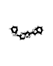 c1ccc(Nc2ccn3nc(-c4cc5ccccc5o4)cc3n2)cc1